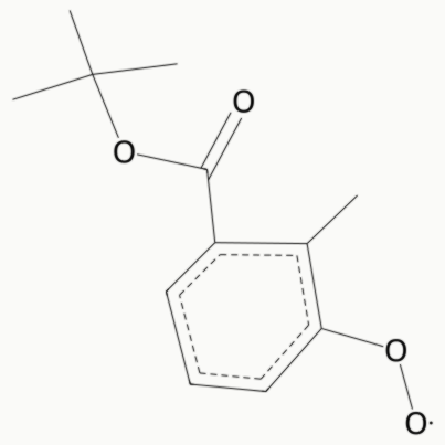 Cc1c(O[O])cccc1C(=O)OC(C)(C)C